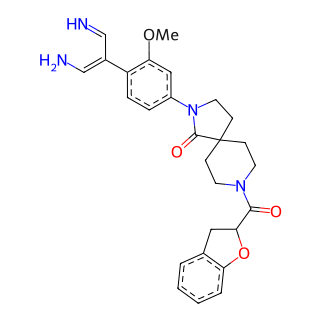 COc1cc(N2CCC3(CCN(C(=O)C4Cc5ccccc5O4)CC3)C2=O)ccc1/C(C=N)=C/N